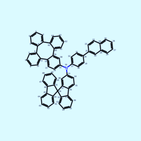 c1ccc2c(c1)-c1ccccc1-c1ccc(N(c3ccc(-c4ccc5ccccc5c4)cc3)c3ccc4c(c3)C3(c5ccccc5-c5ccccc53)c3ccccc3-4)cc1-c1ccccc1-2